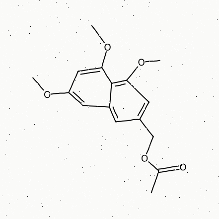 COc1cc(OC)c2c(OC)cc(COC(C)=O)cc2c1